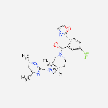 Cc1cc(C)nc(N2C[C@@H]3CCN(C(=O)c4cc(F)ccc4-c4ncco4)C[C@@H]32)n1